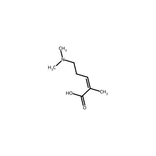 CC(=C[CH]CN(C)C)C(=O)O